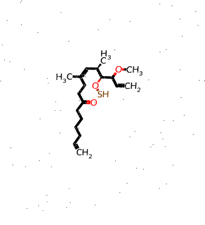 C=CCCCCC(=O)CC/C(C)=C\[C@@H](C)[C@H](OS)C(C=C)OC